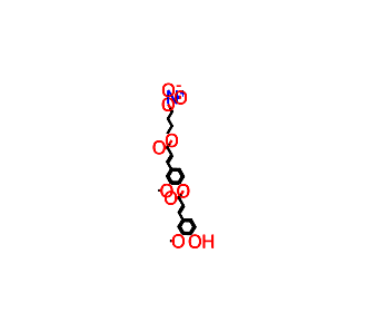 COc1cc(C=CC(=O)Oc2ccc(C=CC(=O)OCCCCO[N+](=O)[O-])cc2OC)ccc1O